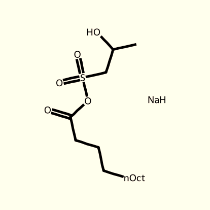 CCCCCCCCCCCC(=O)OS(=O)(=O)CC(C)O.[NaH]